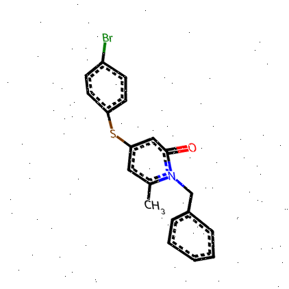 Cc1cc(Sc2ccc(Br)cc2)cc(=O)n1Cc1ccccc1